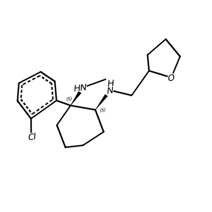 CN[C@]1(c2ccccc2Cl)CCCC[C@@H]1NCC1CCCO1